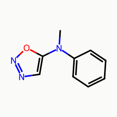 CN(c1ccccc1)c1cnno1